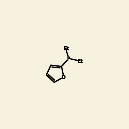 CCP(CC)c1ccco1